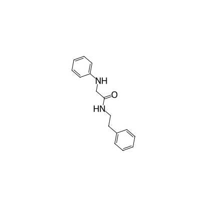 O=C(CNc1ccccc1)NCCc1ccccc1